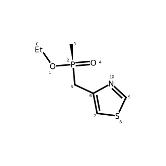 CCO[P@](C)(=O)Cc1cs[c]n1